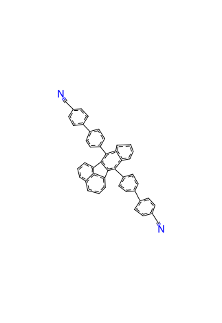 N#Cc1ccc(-c2ccc(-c3c4c(c(-c5ccc(-c6ccc(C#N)cc6)cc5)c5ccccc35)-c3cccc5cccc-4c35)cc2)cc1